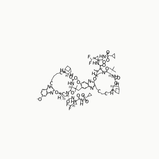 COc1ccc2nc3c(nc2c1)O[C@H]1CN(C(=O)[C@H](C(C)(C)Cc2cc4nc5c(nc4cc2OC)O[C@H]2CN(C(=O)[C@H](C(C)(C)C)NC(=O)O[C@H]4CC6CC(C6)[C@@H]4CCCCC5)[C@H](C(=O)N[C@]4(C(=O)NS(=O)(=O)C5CC5)C[C@H]4C(F)F)[C@@H]2C)NC(=O)O[C@@H]2CC4CC(C4)[C@H]2CCCCC3)[C@H](C(=O)N[C@]2(C(=O)NS(=O)(=O)C3CC3)C[C@H]2C(F)F)[C@@H]1C